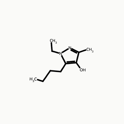 CCCCc1c(O)c(C)nn1CC